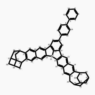 c1ccc(-c2ccc(-c3cc4c5cc6cc7c(cc6cc5n5c6cc8cc9c(cc8cc6c(c3)c45)C3CC4CC5CC9C45C3)CC3CC4CC7CC3C4)cc2)cc1